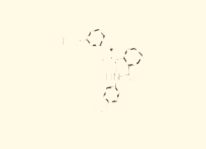 Cc1ccc(NC(=O)c2ccccc2NS(=O)(=O)c2cccc(C(F)(F)F)c2)cc1